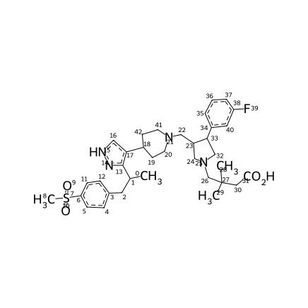 CC(Cc1ccc(S(C)(=O)=O)cc1)c1n[nH]cc1C1CCN(CC2CN(CC(C)(C)CC(=O)O)CC2c2cccc(F)c2)CC1